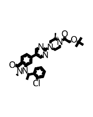 CC(c1ccccc1Cl)n1c2cc(-c3cnc(N4CCN(C(=O)COC(C)(C)C)[C@H](C)C4)nc3)ccc2c(=O)n1C